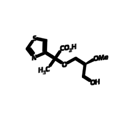 CO[C@@H](CO)COC(C)(C(=O)O)c1cscn1